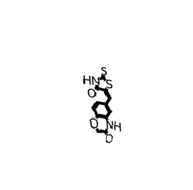 O=C1COc2ccc(/C=C3/SC(=S)NC3=O)cc2N1